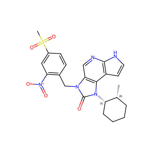 C[C@@H]1CCCC[C@@H]1n1c(=O)n(Cc2ccc(S(C)(=O)=O)cc2[N+](=O)[O-])c2cnc3[nH]ccc3c21